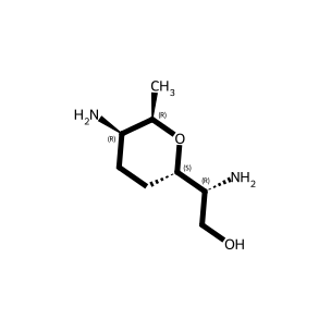 C[C@H]1O[C@H]([C@H](N)CO)CC[C@H]1N